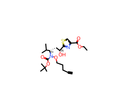 C#CCCCON(C(=O)OC(C)(C)C)[C@@H](C[C@@H](O)c1nc(C(=O)OCC)cs1)C(C)C